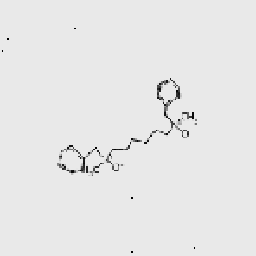 C[N+]([O-])(CCCCCC[N+](C)([O-])Cc1ccccc1)Cc1ccccc1